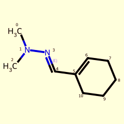 CN(C)/N=C/C1=CCCCC1